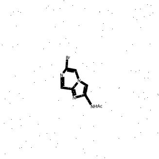 CC(=O)Nc1cn2cc(Br)ncc2n1